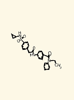 CCN(C(=O)c1ccc(NC(=O)Cc2ccc(S(=O)(=O)NC3CC3)cc2)cc1)c1ccccc1